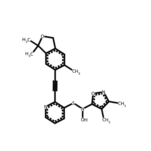 Cc1cc2c(cc1C#Cc1ncccc1SN(O)c1onc(C)c1C)C(C)(C)OC2